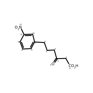 O=C(O)CC(=O)CCCc1cccc([N+](=O)[O-])c1